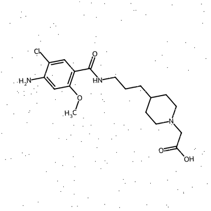 COc1cc(N)c(Cl)cc1C(=O)NCCCC1CCN(CC(=O)O)CC1